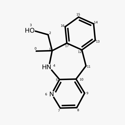 CC1(CO)Nc2ncccc2Cc2ccccc21